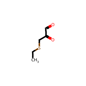 CCSCC(=O)[C]=O